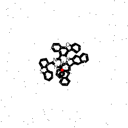 c1ccc2cc(-c3nc(-c4c(-n5c6cc7ccccc7cc6c6cc7ccccc7cc65)c5c6ccccc6oc5c5ccccc45)nc(-c4cccc5sc6ccccc6c45)n3)ccc2c1